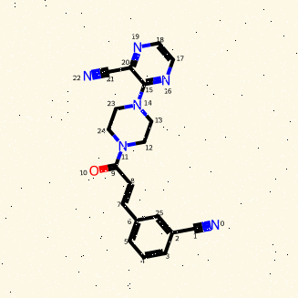 N#Cc1cccc(C=CC(=O)N2CCN(c3nccnc3C#N)CC2)c1